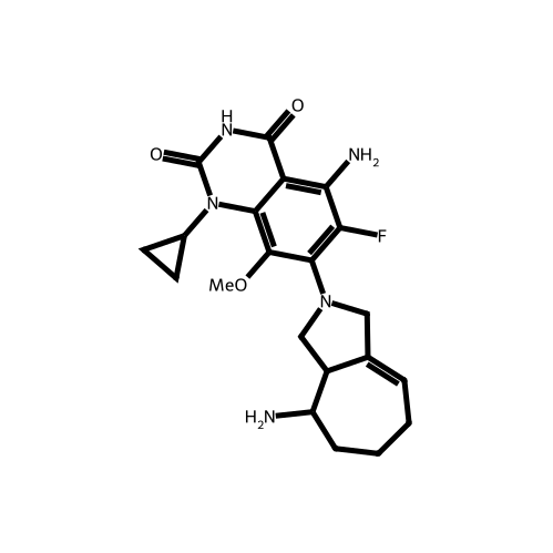 COc1c(N2CC3=CCCCC(N)C3C2)c(F)c(N)c2c(=O)[nH]c(=O)n(C3CC3)c12